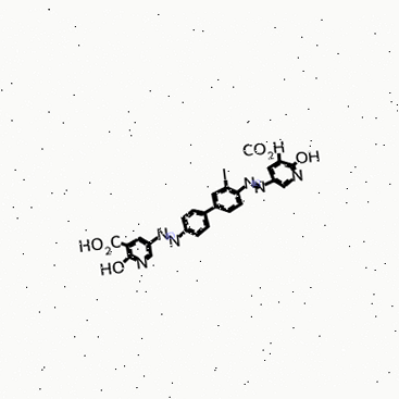 O=C(O)c1cc(/N=N/c2ccc(-c3ccc(/N=N/c4cnc(O)c(C(=O)O)c4)c(I)c3)cc2)cnc1O